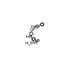 COc1cc(NC2CCC(OCC(=O)N3CCN(c4ccccc4)CC3)CC2)ccc1[N+](=O)[O-]